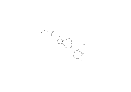 O=C(Nc1cn2cc(-c3ccc(Cl)c(F)c3CO)ccc2n1)C1CC1